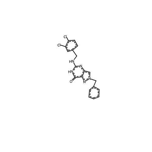 O=c1[nH]c(NCc2ccc(Cl)c(Cl)c2)nc2cn(Cc3ccccc3)nc12